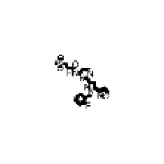 CS(=O)(=O)CCC(=O)Nc1ccnc(-c2cc(-c3ccon3)n(Cc3ccccc3F)n2)n1